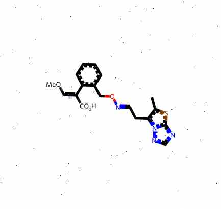 CO/C=C(/C(=O)O)c1ccccc1CON=CCc1c(C)sc2ncnn12